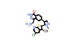 Cn1ncc(-c2ccc3c(=O)[nH]nc(CN)c3c2)c1-c1sc2ncc(Cl)cc2c1C#N